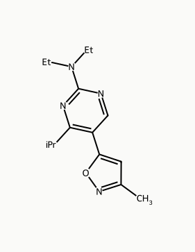 CCN(CC)c1ncc(-c2cc(C)no2)c(C(C)C)n1